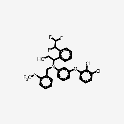 OCC(c1ccccc1C(F)C(F)F)N(Cc1ccccc1SC(F)(F)F)c1cccc(Oc2cccc(Cl)c2Cl)c1